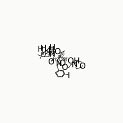 C[C@@H]1[C@@H](NC(=O)[C@@H]2[C@H]([C@H](C)O)[C@H](CO)ON2Cc2cccc(I)c2OCCN2CCOCC2)CC2C[C@@H]1C2(C)C